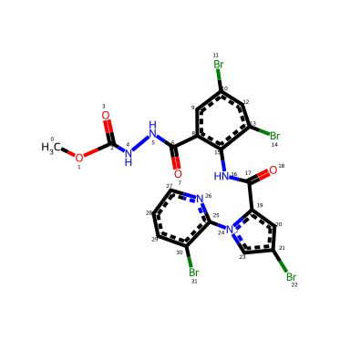 COC(=O)NNC(=O)c1cc(Br)cc(Br)c1NC(=O)c1cc(Br)cn1-c1ncccc1Br